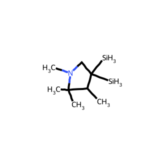 CC1C([SiH3])([SiH3])CN(C)C1(C)C